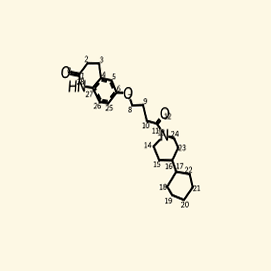 O=C1CCc2cc(OCCCC(=O)N3CCC(C4CCCCC4)CC3)ccc2N1